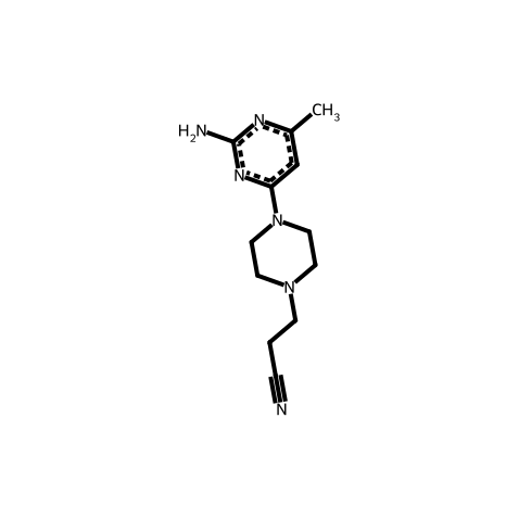 Cc1cc(N2CCN(CCC#N)CC2)nc(N)n1